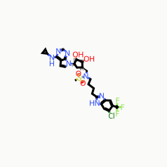 CS(=O)(=O)N(CCCCc1nc2cc(C(F)(F)F)c(Cl)cc2[nH]1)C[C@H]1C[C@@H](n2ccc3c(NC4CC4)ncnc32)[C@H](O)[C@@H]1O